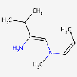 C/C=C\N(C)/C=C(\N)C(C)C